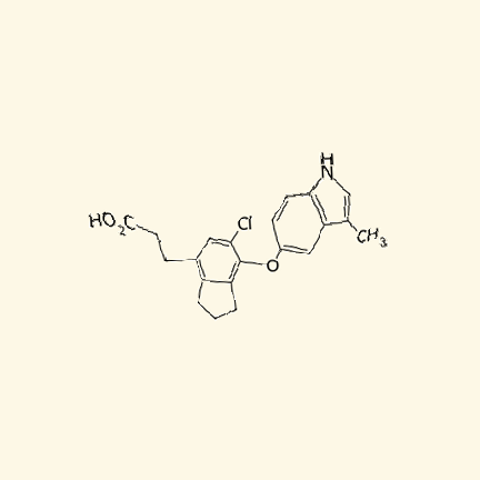 Cc1c[nH]c2ccc(Oc3c(Cl)cc(CCC(=O)O)c4c3CCC4)cc12